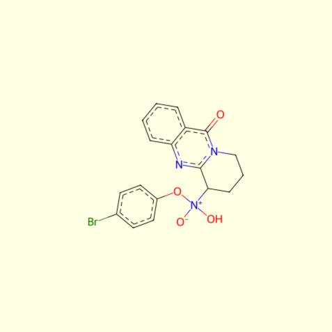 O=c1c2ccccc2nc2n1CCCC2[N+]([O-])(O)Oc1ccc(Br)cc1